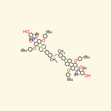 Cc1cc2cc3c(cc2cc1CCc1cc2cc4c(cc2cc1C)-c1ccc2c5c(Oc6ccc(C(C)(C)C)cc6)cc6c7c(cc(Oc8ccc(C(C)(C)C)cc8)c(c8ccc-4c1c28)c75)C(=O)N(c1c(C(C)C)cc(O)cc1C(C)C)C6=O)C1=CC=C2c4c(Oc5ccc(C(C)(C)C)cc5)cc5c6c(cc(Oc7ccc(C(C)(C)C)cc7)c(c46)C4=CC=C3C1C42)C(=O)N(c1c(C(C)C)cc(O)cc1C(C)C)C5=O